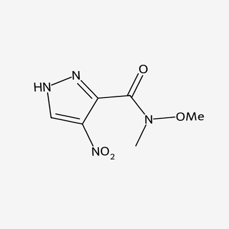 CON(C)C(=O)c1n[nH]cc1[N+](=O)[O-]